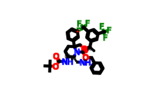 C[C@@H](OCC1(c2ccccc2)CC[C@H](NC(=O)OC(C)(C)C)[C@@H](CN)N1C(=O)OCc1ccccc1)c1cc(C(F)(F)F)cc(C(F)(F)F)c1